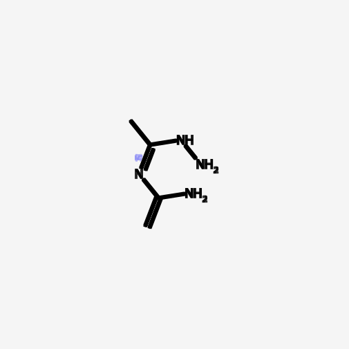 C=C(N)/N=C(/C)NN